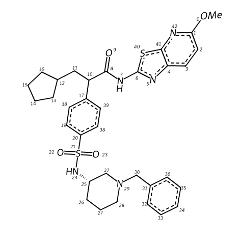 COc1ccc2nc(NC(=O)C(CC3CCCC3)c3ccc(S(=O)(=O)N[C@H]4CCCN(Cc5ccccc5)C4)cc3)sc2n1